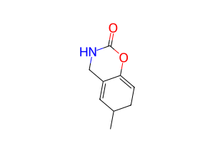 CC1C=C2CNC(=O)OC2=CC1